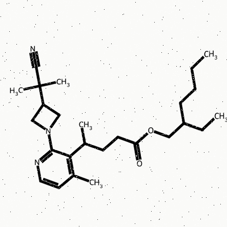 CCCCC(CC)COC(=O)CCC(C)c1c(C)ccnc1N1CC(C(C)(C)C#N)C1